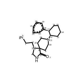 CC(C)CCN1CNC(=O)C12CCN([C@@H]1CCCC[C@@H]1c1ccccc1)CC2